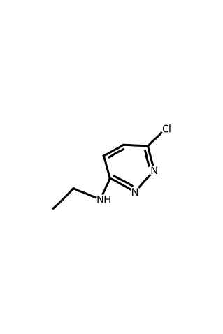 CCNc1ccc(Cl)nn1